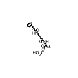 CCN(CCNC(=O)CCCCCNC(=O)CCSSc1ccccn1)C(=O)COCC(=O)O